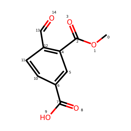 COC(=O)c1cc(C(=O)O)ccc1C=O